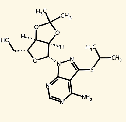 CC(C)Sc1nn([C@@H]2O[C@H](CO)[C@H]3OC(C)(C)O[C@H]32)c2ncnc(N)c12